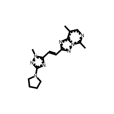 Cc1cnc(C)n2nc(C=Cc3nc(N4CCCC4)nn3C)nc12